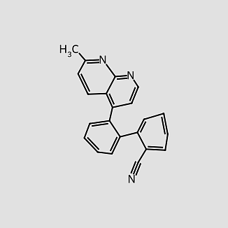 Cc1ccc2c(-c3ccccc3-c3ccccc3C#N)ccnc2n1